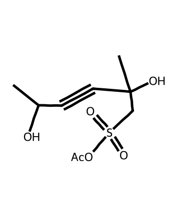 CC(=O)OS(=O)(=O)CC(C)(O)C#CC(C)O